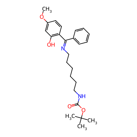 COc1ccc(/C(=N/CCCCCCNC(=O)OC(C)(C)C)c2ccccc2)c(O)c1